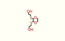 OCCSC1OCCOC1SCCO